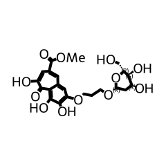 COC(=O)c1cc(O)c(=O)c2c(O)c(O)c(OCCCO[C@H]3C[C@@H](O)[C@H](O)[C@@H](CO)O3)cc2c1